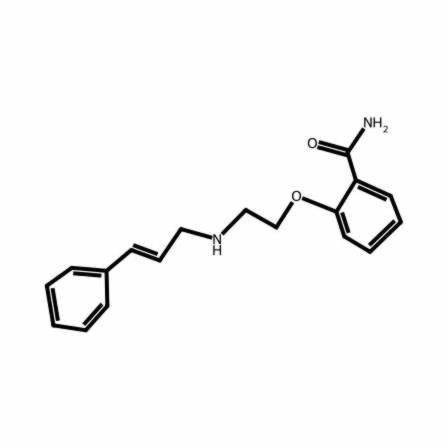 NC(=O)c1ccccc1OCCNCC=Cc1ccccc1